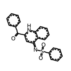 O=C(c1ccccc1)c1c/c(=N/S(=O)(=O)c2ccccc2)c2ccccc2[nH]1